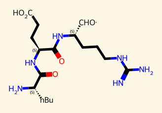 CCCC[C@H](N)C(=O)N[C@@H](CCC(=O)O)C(=O)N[C@H]([C]=O)CCCNC(=N)N